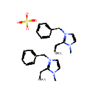 CCCCCCCCCCCc1n(C)cc[n+]1Cc1ccccc1.CCCCCCCCCCCc1n(C)cc[n+]1Cc1ccccc1.O=S(=O)([O-])[O-]